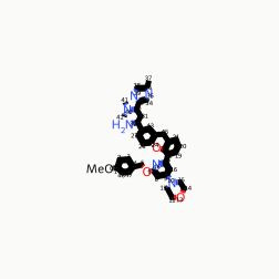 COc1ccc(COc2cc(N3CCOCC3)cc(-c3cccc4c3Oc3ccc(C(N)CC(c5cnc(C)cn5)N(C)C)cc3C4)n2)cc1